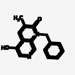 Cc1cc2c(O)cncc2n(Cc2ccccc2)c1=O